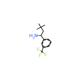 CC(C)(C)CC(N)c1cccc(C(F)(F)F)c1